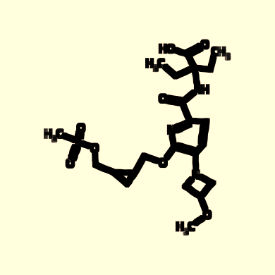 CCC(CC)(NC(=O)c1ccc(N2CC(OC)C2)c(OCC2CC2COS(C)(=O)=O)n1)C(=O)O